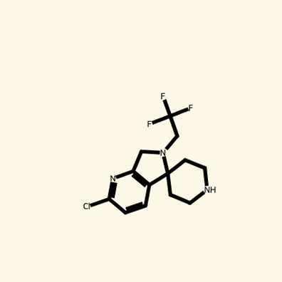 FC(F)(F)CN1Cc2nc(Cl)ccc2C12CCNCC2